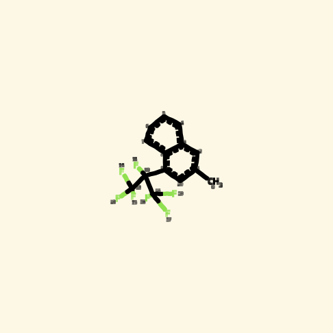 Cc1[c]c2ccccc2c(C(F)(C(F)(F)F)C(F)(F)F)c1